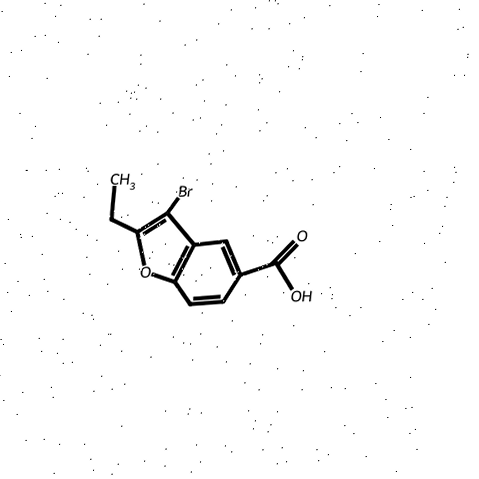 CCc1oc2ccc(C(=O)O)cc2c1Br